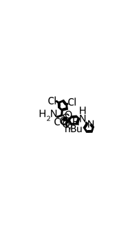 CCCCOC1(S(=O)(=O)C(c2cc(Cl)cc(Cl)c2)C(N)C(=O)O)C=CC(Nc2ccccn2)=CC1